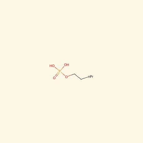 [CH2]CCCCOP(=O)(O)O